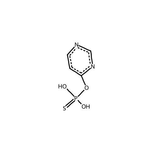 OP(O)(=S)Oc1ccncn1